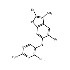 CCc1[nH]c2cc(Oc3cnc(N)nc3N)c(C(C)C)cc2c1C